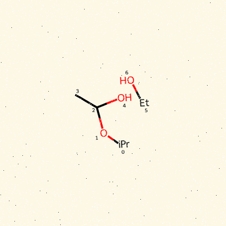 CC(C)OC(C)O.CCO